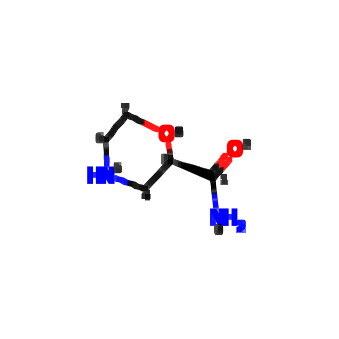 NC(=O)[C@H]1CNCCO1